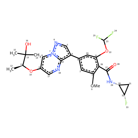 COc1cc(-c2cnn3cc(O[C@@H](C)C(C)(C)O)cnc23)cc(OC(F)F)c1C(=O)N[C@@H]1C[C@@H]1F